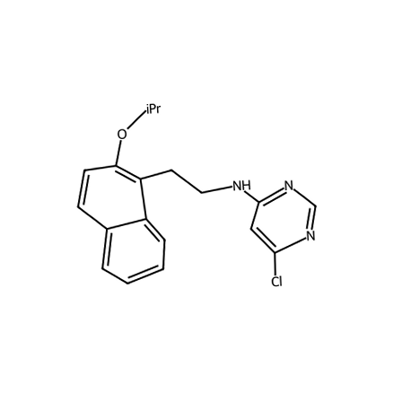 CC(C)Oc1ccc2ccccc2c1CCNc1cc(Cl)ncn1